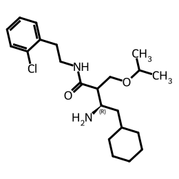 CC(C)OCC(C(=O)NCCc1ccccc1Cl)[C@H](N)CC1CCCCC1